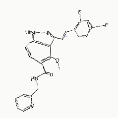 COc1c(C(=O)NCc2ccccn2)ccc2[nH]nc(/C=C/c3ccc(F)cc3F)c12